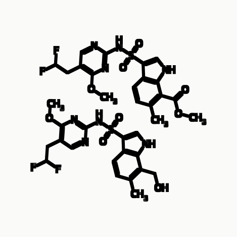 COC(=O)c1c(C)ccc2c(S(=O)(=O)Nc3ncc(CC(F)F)c(OC)n3)c[nH]c12.COc1nc(NS(=O)(=O)c2c[nH]c3c(CO)c(C)ccc23)ncc1CC(F)F